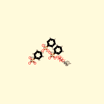 O=S(=O)([O-])c1ccccc1.O=S(=O)([O-])c1ccccc1.O=S(=O)([O-])c1ccccc1.[Al+3].[Al+3].[OH-].[OH-].[OH-]